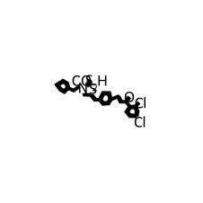 O=C(/C=C/c1ccc(/C=C2/CN([C@@H](Cc3ccccc3)C(=O)O)C(=S)S2)cc1)c1ccc(Cl)cc1Cl